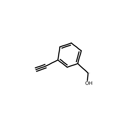 C#Cc1cccc([CH]O)c1